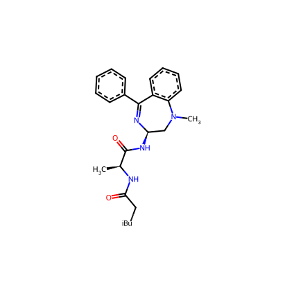 CCC(C)CC(=O)N[C@@H](C)C(=O)N[C@@H]1CN(C)c2ccccc2C(c2ccccc2)=N1